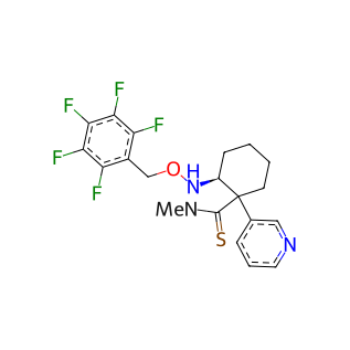 CNC(=S)C1(c2cccnc2)CCCC[C@@H]1NOCc1c(F)c(F)c(F)c(F)c1F